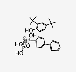 CC(C)(C)c1ccc(O)c(C(C)(C)C)c1.OP(O)O[PH](O)(O)c1ccc(-c2ccccc2)cc1